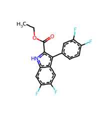 CCOC(=O)c1[nH]c2cc(F)c(F)cc2c1-c1ccc(F)c(F)c1